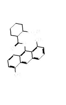 Cc1cccc2c(OC(=O)C3CCCCC3C(=O)O)c3c(C)cccc3cc12